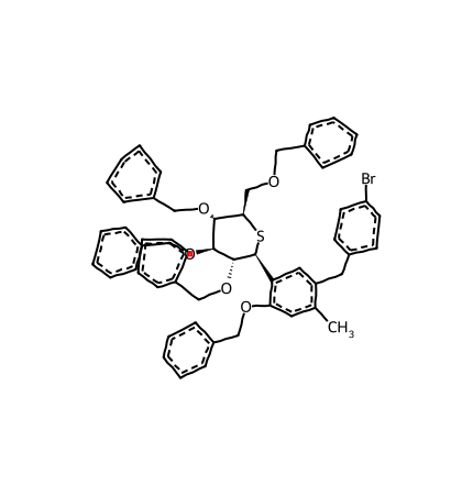 Cc1cc(OCc2ccccc2)c([C@@H]2S[C@H](COCc3ccccc3)[C@@H](OCc3ccccc3)[C@H](OCc3ccccc3)[C@H]2OCc2ccccc2)cc1Cc1ccc(Br)cc1